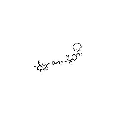 O=C(CCOCCOCCNC(=O)C1CCC(C(=O)C2CCCCCCCC2)CC1)Oc1c(F)c(F)cc(F)c1F